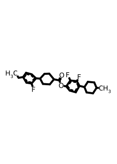 CCc1ccc(C2CCC(C(=O)Oc3ccc(C4CCC(C)CC4)c(F)c3F)CC2)c(F)c1